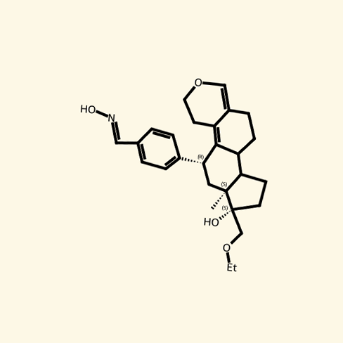 CCOC[C@]1(O)CCC2C3CCC4=COCCC4=C3[C@@H](c3ccc(C=NO)cc3)C[C@@]21C